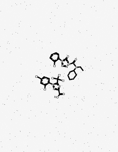 CCN(C(=O)n1nnn(-c2ccccc2Cl)c1=O)C1CCCCC1.O=C(O)c1nc(C(Cl)(Cl)Cl)n(-c2ccc(Cl)cc2Cl)n1